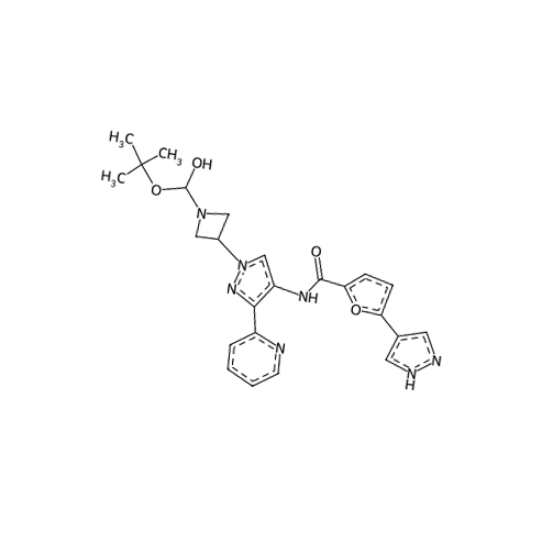 CC(C)(C)OC(O)N1CC(n2cc(NC(=O)c3ccc(-c4cn[nH]c4)o3)c(-c3ccccn3)n2)C1